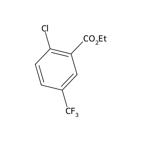 CCOC(=O)c1cc(C(F)(F)F)ccc1Cl